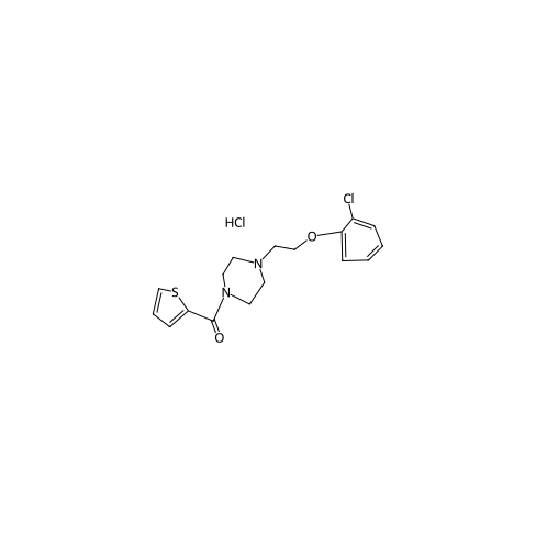 Cl.O=C(c1cccs1)N1CCN(CCOc2ccccc2Cl)CC1